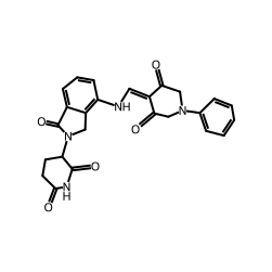 O=C1CCC(N2Cc3c(NC=C4C(=O)CN(c5ccccc5)CC4=O)cccc3C2=O)C(=O)N1